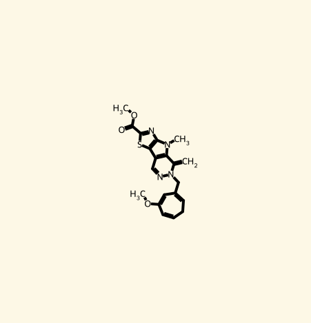 C=C1c2c(c3sc(C(=O)OC)nc3n2C)C=NN1CC1=CCC=CC(OC)=C1